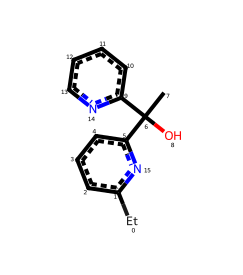 CCc1cccc(C(C)(O)c2ccccn2)n1